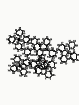 c1ccc([Si](c2ccccc2)(c2ccccc2)c2cccc(-c3cc(-c4cccc([Si](c5ccccc5)(c5ccccc5)c5ccccc5)c4)cc(N4c5ccccc5B5c6ccccc6N(c6cc(-c7cccc([Si](c8ccccc8)(c8ccccc8)c8ccccc8)c7)cc(-c7cccc([Si](c8ccccc8)(c8ccccc8)c8ccccc8)c7)c6)c6cc(-n7c8ccccc8c8ccccc87)cc4c65)c3)c2)cc1